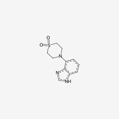 O=S1(=O)CCN(c2cccc3[nH]cnc23)CC1